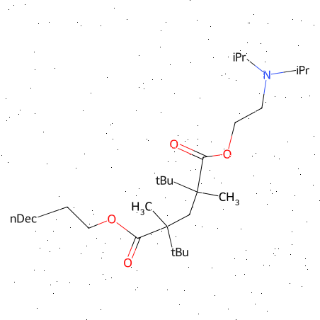 CCCCCCCCCCCCOC(=O)C(C)(CC(C)(C(=O)OCCN(C(C)C)C(C)C)C(C)(C)C)C(C)(C)C